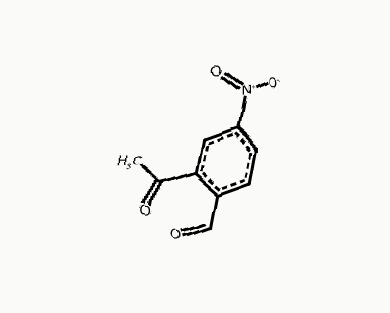 CC(=O)c1cc([N+](=O)[O-])ccc1C=O